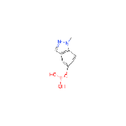 Cn1ncc2cc(OB(O)O)ccc21